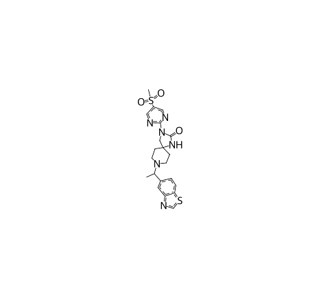 CC(c1ccc2scnc2c1)N1CCC2(CC1)CN(c1ncc(S(C)(=O)=O)cn1)C(=O)N2